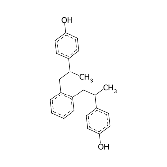 CC(Cc1ccccc1CC(C)c1ccc(O)cc1)c1ccc(O)cc1